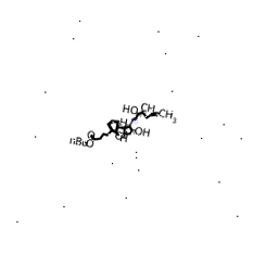 CC#CC[C@H](C)[C@H](O)/C=C/[C@@H]1[C@H]2c3cccc(CCCC(=O)OCCCC)c3O[C@H]2C[C@H]1O